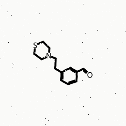 O=Cc1cccc(CCN2CCSCC2)c1